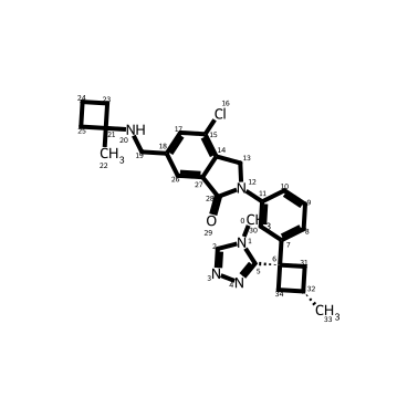 Cn1cnnc1[C@]1(c2cccc(N3Cc4c(Cl)cc(CNC5(C)CCC5)cc4C3=O)c2)C[C@H](C)C1